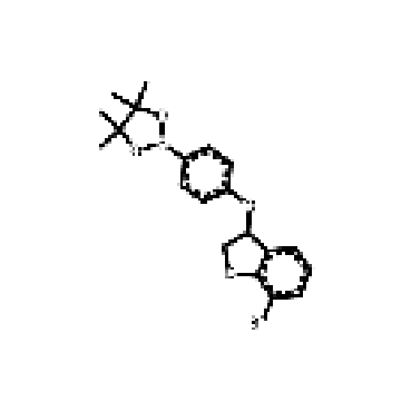 CC1(C)OB(c2ccc(OC3COc4c(Br)cccc43)cc2)OC1(C)C